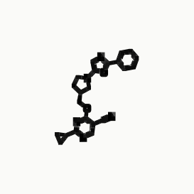 N#Cc1cnc(C2CC2)nc1OC[C@H]1CCN(c2cnc(-c3ccccc3)o2)C1